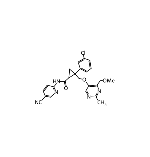 COCc1nc(C)ncc1OCC1(c2cccc(Cl)c2)CC1C(=O)Nc1ccc(C#N)cn1